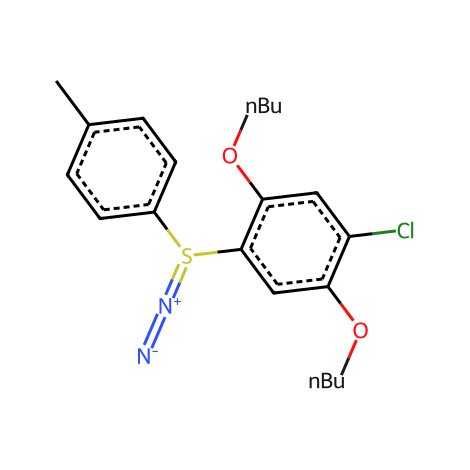 CCCCOc1cc(S(=[N+]=[N-])c2ccc(C)cc2)c(OCCCC)cc1Cl